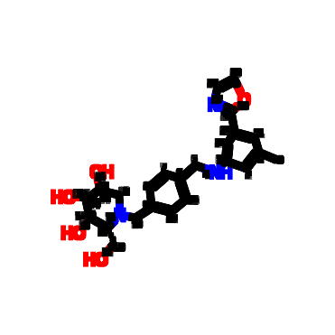 Cc1cc(NCc2ccc(CN3C[C@H](O)[C@@H](O)[C@H](O)[C@H]3CO)cc2)cc(-c2ncco2)c1